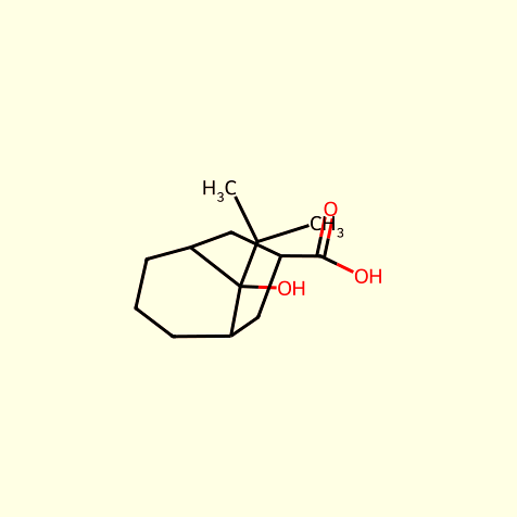 CC(C)C1(O)C2CCCC1CC(C(=O)O)C2